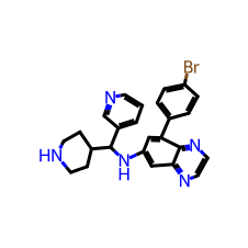 Brc1ccc(-c2cc(NC(c3cccnc3)C3CCNCC3)cc3nccnc23)cc1